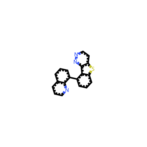 c1cnc2c(-c3cccc4sc5ccnnc5c34)cccc2c1